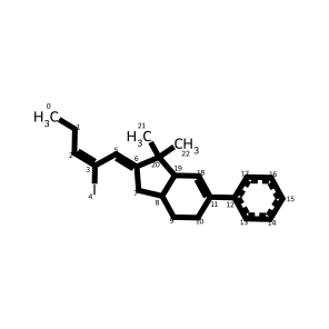 CC/C=C(I)\C=C1/CC2CCC(c3ccccc3)=CC2C1(C)C